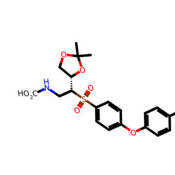 Cc1ccc(Oc2ccc(S(=O)(=O)C(CNC(=O)O)[C@@H]3COC(C)(C)O3)cc2)cc1